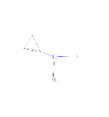 CC(C)(C)N(C(=O)O)C1CC1